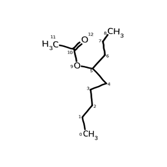 CCCCCC(CCC)OC(C)=O